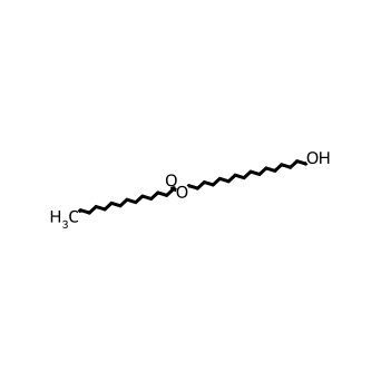 CCCCCCCCCCCCCC(=O)OCCCCCCCCCCCCCCCCO